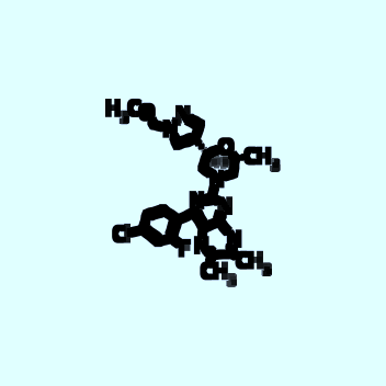 COCn1cc([C@H]2CN(c3nc(-c4ccc(Cl)cc4F)c4nc(C)c(C)nc4n3)C[C@@H](C)O2)cn1